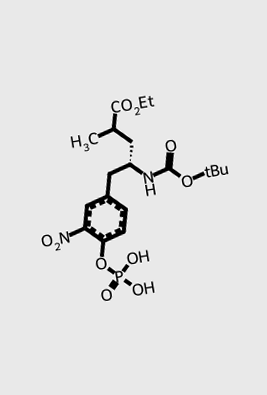 CCOC(=O)C(C)C[C@@H](Cc1ccc(OP(=O)(O)O)c([N+](=O)[O-])c1)NC(=O)OC(C)(C)C